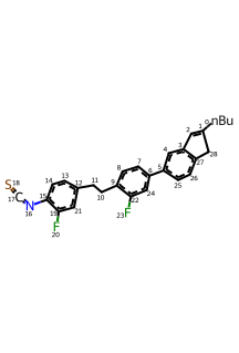 CCCCC1=Cc2cc(-c3ccc(CCc4ccc(N=C=S)c(F)c4)c(F)c3)ccc2C1